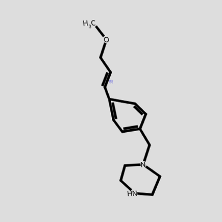 COC/C=C/c1ccc(CN2CCNCC2)cc1